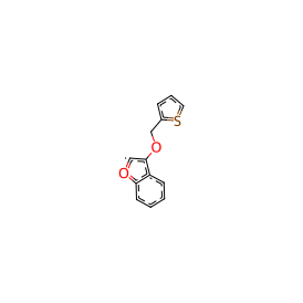 [c]1oc2ccccc2c1OCc1cccs1